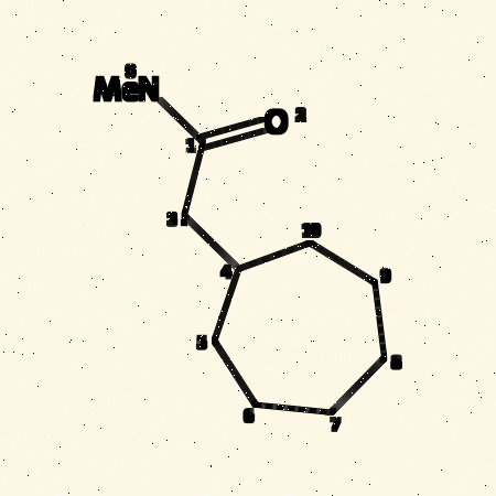 CNC(=O)[CH]C1CCCCCC1